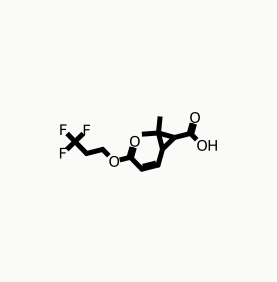 CC1(C)C(/C=C\C(=O)OCCC(F)(F)F)C1C(=O)O